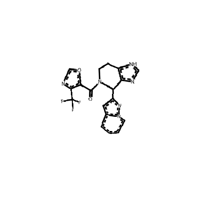 O=C(c1ocnc1C(F)(F)F)N1CCc2[nH]cnc2C1c1cc2ccccn2n1